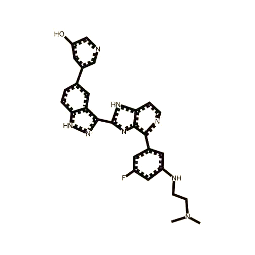 CN(C)CCNc1cc(F)cc(-c2nccc3[nH]c(-c4n[nH]c5ccc(-c6cncc(O)c6)cc45)nc23)c1